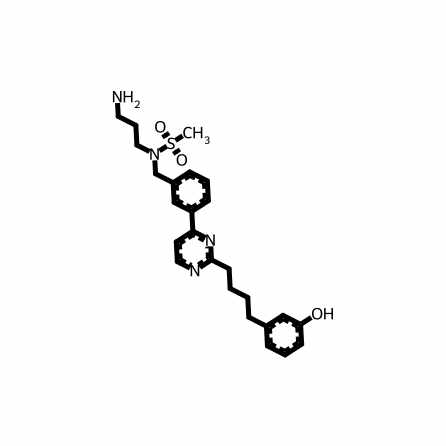 CS(=O)(=O)N(CCCN)Cc1cccc(-c2ccnc(CCCCc3cccc(O)c3)n2)c1